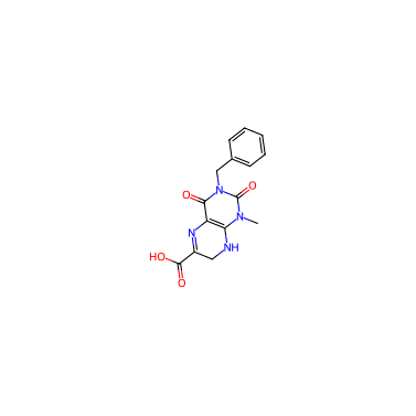 Cn1c2c(c(=O)n(Cc3ccccc3)c1=O)N=C(C(=O)O)CN2